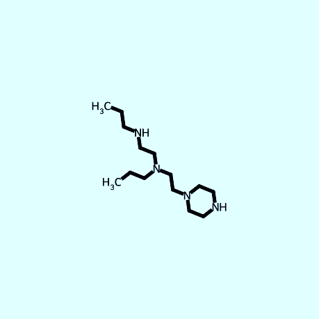 CCCNCCN(CCC)CCN1CCNCC1